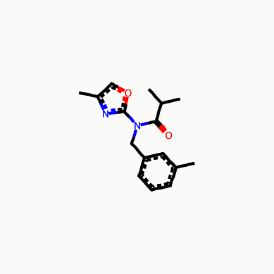 Cc1cccc(CN(C(=O)C(C)C)c2nc(C)co2)c1